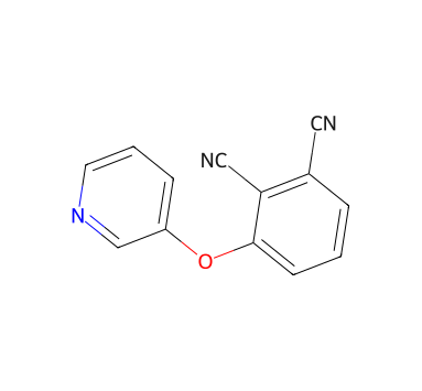 N#Cc1cccc(Oc2cccnc2)c1C#N